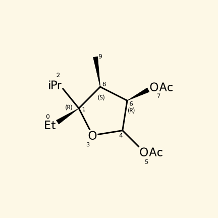 CC[C@]1(C(C)C)OC(OC(C)=O)[C@H](OC(C)=O)[C@@H]1C